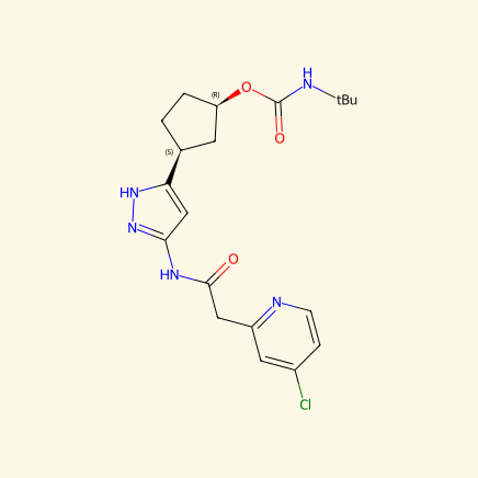 CC(C)(C)NC(=O)O[C@@H]1CC[C@H](c2cc(NC(=O)Cc3cc(Cl)ccn3)n[nH]2)C1